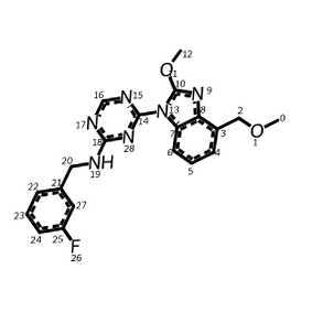 COCc1cccc2c1nc(OC)n2-c1ncnc(NCc2cccc(F)c2)n1